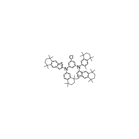 Cc1cc2c(cc1N(c1cc(Cl)cc(N(c3ccc4c(c3)C(C)(C)CCC4(C)C)c3cc4cc5c(cc4s3)C(C)(C)CCC5(C)C)c1)c1csc3cc4c(cc13)C(C)(C)CCC4(C)C)C(C)(C)CCC2(C)C